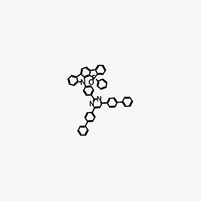 O=P1(c2ccccc2)c2ccccc2-c2ccc3c4ccccc4n(-c4ccc(-c5nc(-c6ccc(-c7ccccc7)cc6)cc(-c6ccc(-c7ccccc7)cc6)n5)cc4)c3c21